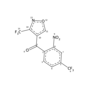 O=C(c1ccc(C(F)(F)F)cc1[N+](=O)[O-])c1conc1C(F)(F)F